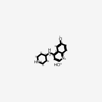 Cl.Clc1ccc2nccc(NC3CCNCC3)c2c1